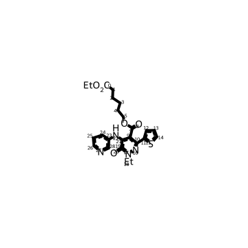 CCOC(=O)CCCCCOC(=O)c1c(-c2cccs2)nn(CC)c(=O)c1Nc1cccnc1